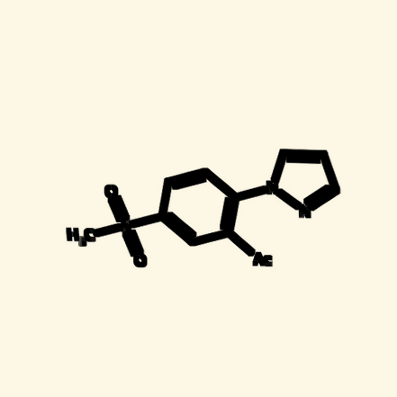 CC(=O)c1cc(S(C)(=O)=O)ccc1-n1cccn1